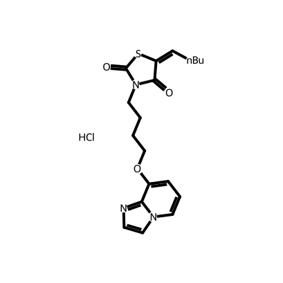 CCCC/C=C1/SC(=O)N(CCCCOc2cccn3ccnc23)C1=O.Cl